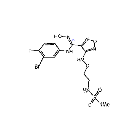 CNS(=O)(=O)NCCONc1nonc1/C(=N/O)Nc1ccc(F)c(Br)c1